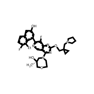 CCc1c(F)ccc2cc(O)cc(-c3ncc4c(N5CCOC[C@@](C)(O)C5)nc(OCC5(CN6CCCC6)CC5)nc4c3F)c12